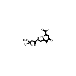 CC(C)(C)OC(=O)NCc1[nH]c(C(=O)O)cc(=O)c1O